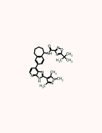 Cc1nn(C)c(C)c1-c1nc2c(-c3ccc4c(c3)CCCCC4NC(=O)c3noc(C(C)(C)C)n3)ccnc2[nH]1